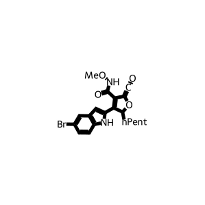 CCCCCC1OC(=C=O)C(C(=O)NOC)=C1c1cc2cc(Br)ccc2[nH]1